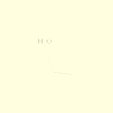 CC.CCC.O